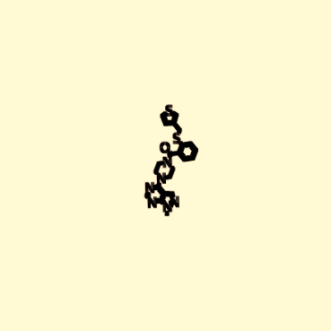 Cn1ncc2c(N3CCN(C(=O)c4ccccc4SCc4ccsc4)CC3)ncnc21